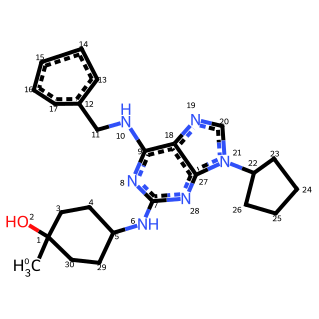 CC1(O)CCC(Nc2nc(NCc3ccccc3)c3ncn(C4CCCC4)c3n2)CC1